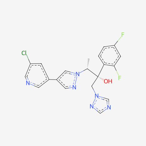 C[C@@H](n1cc(-c2cncc(Cl)c2)cn1)[C@](O)(Cn1cncn1)c1ccc(F)cc1F